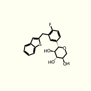 O[C@@H]1[C@@H](O)[C@H](c2ccc(F)c(Cc3cc4ccccc4s3)c2)OC[C@H]1O